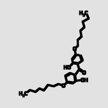 CCCCCCCCOc1ccc(C(=O)c2ccc(OCCCCCCCC)cc2O)c(O)c1